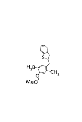 Bc1cc(CC2Cc3ccccc3S2)c(C)cc1OCOC